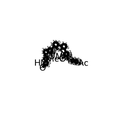 COc1nc(-c2cccc(-c3cccc(-c4cc5c(c(OC)n4)C(N4CC6(CCC(=O)N6)C4)CC5)c3C)c2C)cnc1CN1CC2(C1)CN(C(C)=O)C2